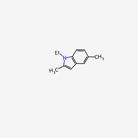 CCn1c(C)cc2cc(C)ccc21